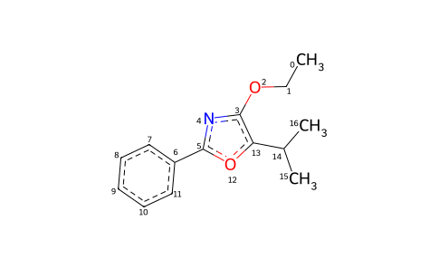 CCOc1nc(-c2ccccc2)oc1C(C)C